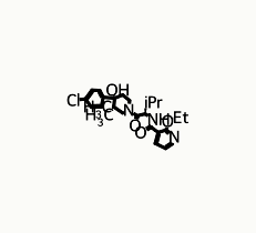 CCOc1ncccc1C(=O)N[C@@H](C(=O)N1CC[C@](O)(c2ccc(Cl)cc2)C(C)(C)C1)C(C)C